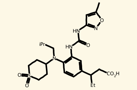 CCC(CC(=O)O)c1ccc(N(CC(C)C)C2CCS(=O)(=O)CC2)c(NC(=O)Nc2cc(C)on2)c1